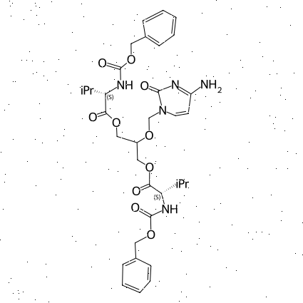 CC(C)[C@H](NC(=O)OCc1ccccc1)C(=O)OCC(COC(=O)[C@@H](NC(=O)OCc1ccccc1)C(C)C)OCn1ccc(N)nc1=O